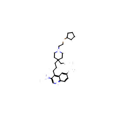 COc1ccc2ncc(N(C)C)c([C@H](F)CCC3(CC(=O)O)CCN(CCSC4CCCC4)CC3)c2c1